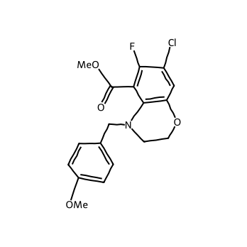 COC(=O)c1c(F)c(Cl)cc2c1N(Cc1ccc(OC)cc1)CCO2